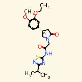 CCOc1cc([C@@H]2CC(=O)N(CC(=O)Nc3nc(C(C)C)ns3)C2)ccc1OC